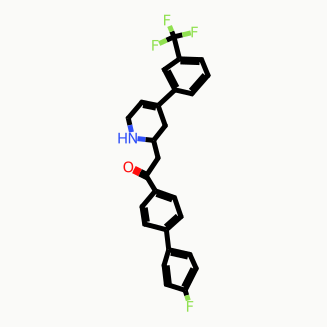 O=C(CC1CC(c2cccc(C(F)(F)F)c2)=CCN1)c1ccc(-c2ccc(F)cc2)cc1